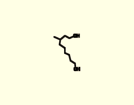 CC(CCO)CCCCCCO